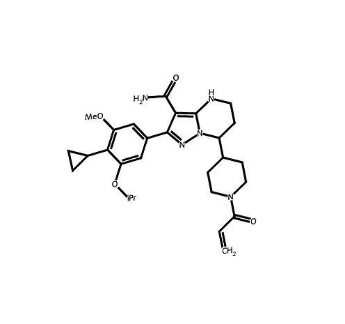 C=CC(=O)N1CCC(C2CCNc3c(C(N)=O)c(-c4cc(OC)c(C5CC5)c(OC(C)C)c4)nn32)CC1